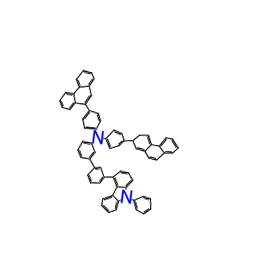 C1=c2ccc3ccccc3c2=CCC1c1ccc(N(c2ccc(-c3cc4ccccc4c4ccccc34)cc2)c2cccc(-c3cccc(-c4cccc5c4c4ccccc4n5-c4ccccc4)c3)c2)cc1